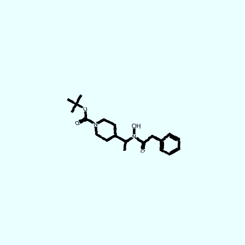 CC(C1CCN(C(=O)OC(C)(C)C)CC1)N(O)C(=O)Cc1ccccc1